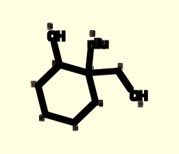 CCCCC1(CO)CCCCC1O